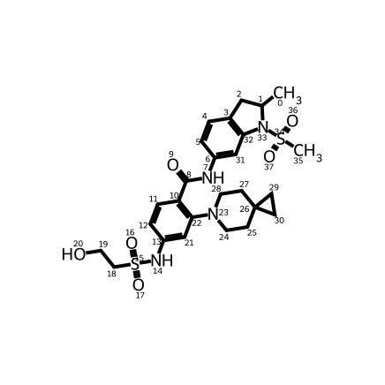 CC1Cc2ccc(NC(=O)c3ccc(NS(=O)(=O)CCO)cc3N3CCC4(CC3)CC4)cc2N1S(C)(=O)=O